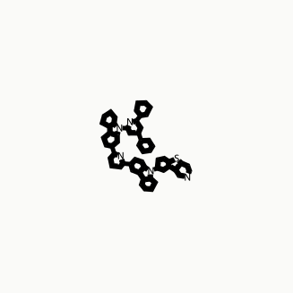 c1ccc(-c2cc(-c3ccccc3)nc(-n3c4ccccc4c4ccc(-c5cccc(-c6ccc7c(c6)c6ccccc6n7-c6ccc7sc8ccncc8c7c6)n5)cc43)c2)cc1